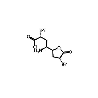 CC(C)[C@H](C[C@H](N)[C@@H]1C[C@@H](C(C)C)C(=O)O1)C(=O)Cl